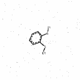 CCSc1[c]cccc1SCC